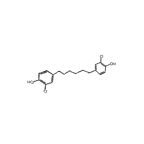 Oc1ccc(CCCCCCc2ccc(O)c(Cl)c2)cc1Cl